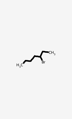 CCC[CH]C(Br)CC